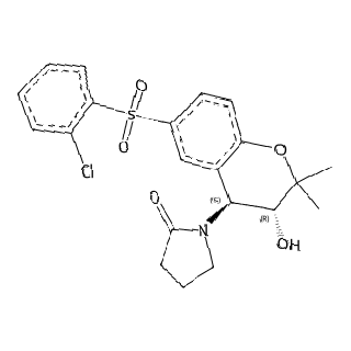 CC1(C)Oc2ccc(S(=O)(=O)c3ccccc3Cl)cc2[C@H](N2CCCC2=O)[C@H]1O